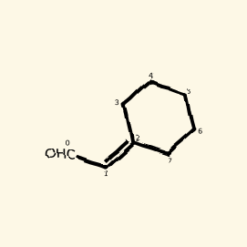 O=CC=C1CCCCC1